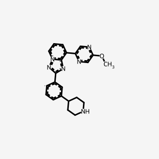 COc1cnc(-c2cccn3nc(-c4[c]ccc(C5CCNCC5)c4)nc23)cn1